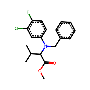 COC(=O)C(C(C)C)N(Cc1ccccc1)c1ccc(F)c(Cl)c1